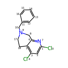 Clc1cc(Cl)c2c(n1)CN(Cc1ccccc1)CC2